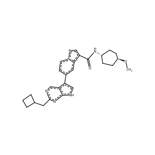 CO[C@H]1CC[C@H](NC(=O)c2cnn3ccc(-c4c[nH]c5nc(CC6CCC6)ncc45)cc23)CC1